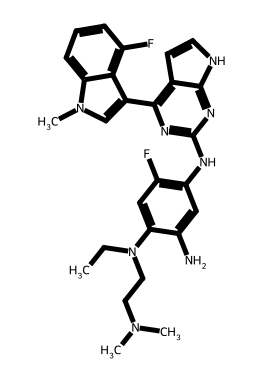 CCN(CCN(C)C)c1cc(F)c(Nc2nc(-c3cn(C)c4cccc(F)c34)c3cc[nH]c3n2)cc1N